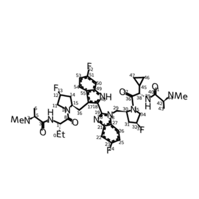 CC[C@H](NC(=O)[C@H](C)NC)C(=O)N1C[C@@H](F)C[C@H]1Cc1c(-c2nc3cc(F)ccc3n2C[C@@H]2C[C@H](F)CN2C(=O)[C@@H](NC(=O)[C@H](C)NC)C2CC2)[nH]c2cc(F)ccc12